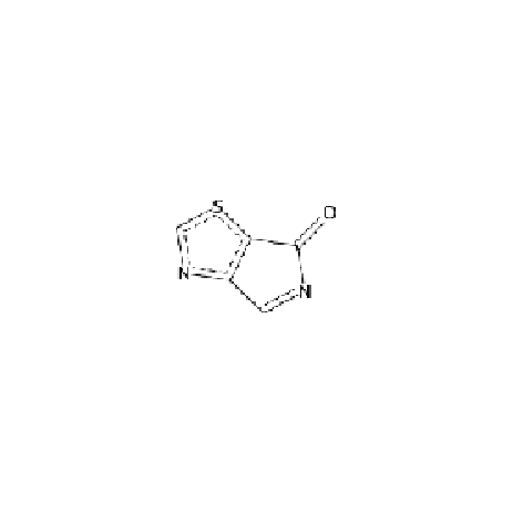 O=C1N=Cc2ncsc21